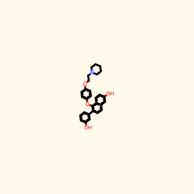 Oc1cccc(-c2ccc3cc(O)ccc3c2Oc2ccc(OCCN3CCCCC3)cc2)c1